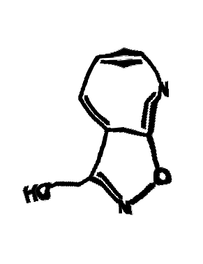 Oc1noc2ncccc12